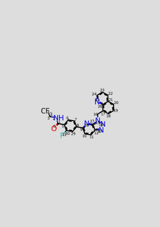 O=C(NCC(F)(F)F)c1ccc(-c2ccc3nnn(Cc4cccc5cccnc45)c3n2)cc1F